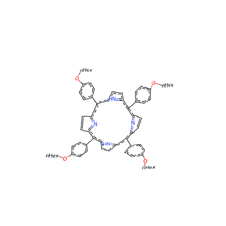 CCCCCCOc1ccc(-c2c3nc(c(-c4ccc(OCCCCCC)cc4)c4ccc([nH]4)c(-c4ccc(OCCCCCC)cc4)c4nc(c(-c5ccc(OCCCCCC)cc5)c5ccc2[nH]5)C=C4)C=C3)cc1